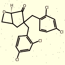 O=C1[C@@H]2OCC2CC1(Cc1ccc(Cl)cc1Cl)Cc1ccc(Cl)cc1Cl